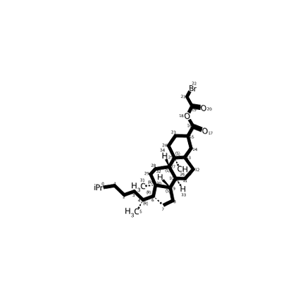 CC(C)CCC[C@@H](C)[C@H]1CC[C@H]2[C@@H]3CCC4CC(C(=O)OC(=O)CBr)CC[C@]4(C)[C@H]3CC[C@]12C